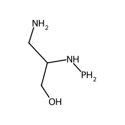 NCC(CO)NP